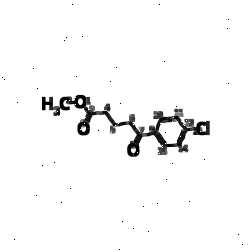 COC(=O)CCCC(=O)c1ccc(Cl)cc1